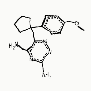 COc1ccc(C2(c3nnc(N)nc3N)CCCC2)cc1